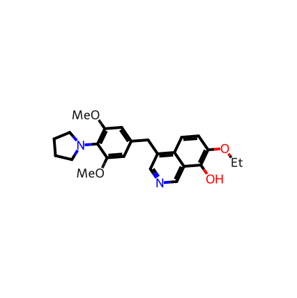 CCOc1ccc2c(Cc3cc(OC)c(N4CCCC4)c(OC)c3)cncc2c1O